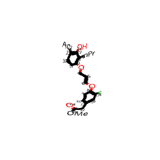 CCCc1c(OCCCOc2ccc(CC(=O)OC)cc2F)ccc(C(C)=O)c1O